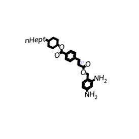 CCCCCCCC1CCC(OC(=O)c2ccc(/C=C/C(=O)OCc3ccc(N)cc3N)cc2)CC1